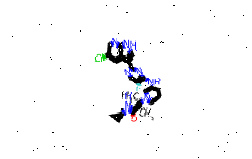 CC(C)(C(=O)NC1CC1)N1CCC[C@H](Nc2nc(C3=CNC4=NCC(Cl)CC34)ncc2F)C1